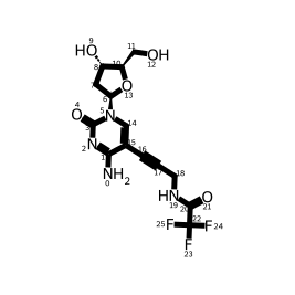 Nc1nc(=O)n([C@H]2C[C@H](O)[C@@H](CO)O2)cc1C#CCNC(=O)C(F)(F)F